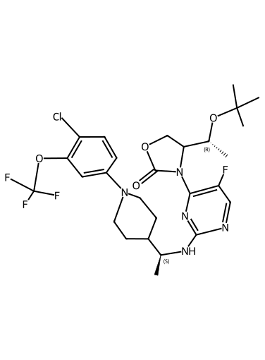 C[C@H](Nc1ncc(F)c(N2C(=O)OCC2[C@@H](C)OC(C)(C)C)n1)C1CCN(c2ccc(Cl)c(OC(F)(F)F)c2)CC1